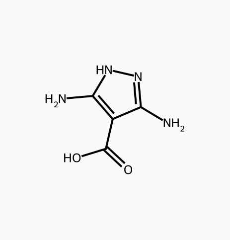 Nc1n[nH]c(N)c1C(=O)O